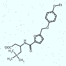 CCOc1ccc(OCc2ccc(C(=O)NC(CC(=O)[O-])C[N+](C)(C)C)o2)cc1